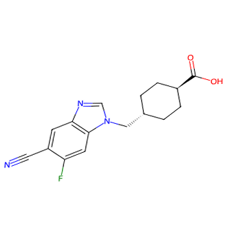 N#Cc1cc2ncn(C[C@H]3CC[C@H](C(=O)O)CC3)c2cc1F